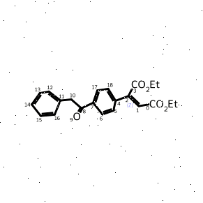 CCOC(=O)/C=C(\C(=O)OCC)c1ccc(C(=O)Cc2ccccc2)cc1